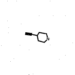 C#CC1CC[N]CC1